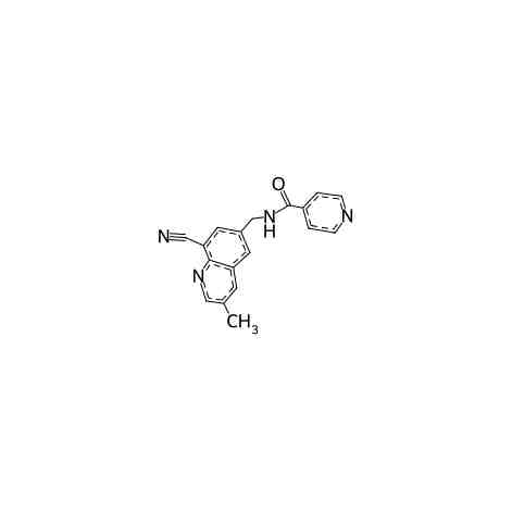 Cc1cnc2c(C#N)cc(CNC(=O)c3ccncc3)cc2c1